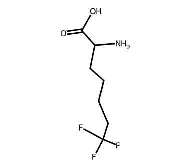 NC(CCCCC(F)(F)F)C(=O)O